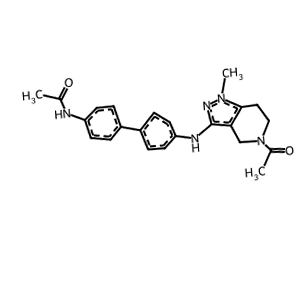 CC(=O)Nc1ccc(-c2ccc(Nc3nn(C)c4c3CN(C(C)=O)CC4)cc2)cc1